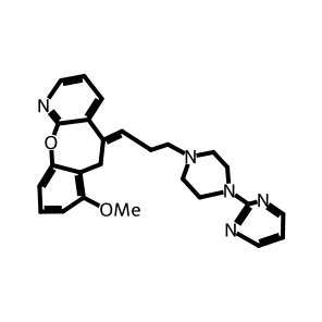 COc1cccc2c1CC(=CCCN1CCN(c3ncccn3)CC1)c1cccnc1O2